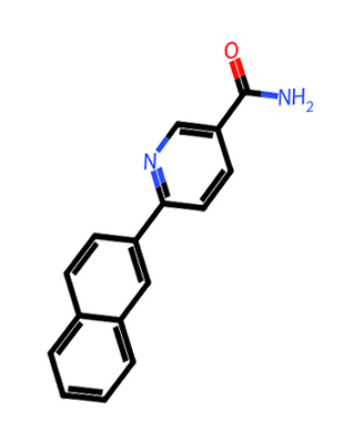 NC(=O)c1ccc(-c2ccc3ccccc3c2)nc1